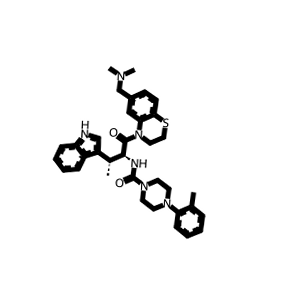 Cc1ccccc1N1CCN(C(=O)N[C@@H](C(=O)N2CCSc3ccc(CN(C)C)cc32)[C@H](C)c2c[nH]c3ccccc23)CC1